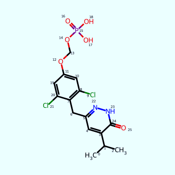 CC(C)c1cc(Cc2c(Cl)cc(OCOP(=O)(O)O)cc2Cl)n[nH]c1=O